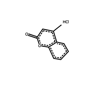 Cc1cc(=O)oc2ccccc12.Cl